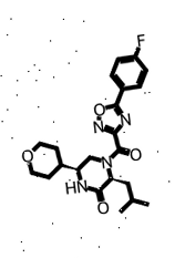 CC(C)C[C@H]1C(=O)N[C@@H](C2CCOCC2)CN1C(=O)c1noc(-c2ccc(F)cc2)n1